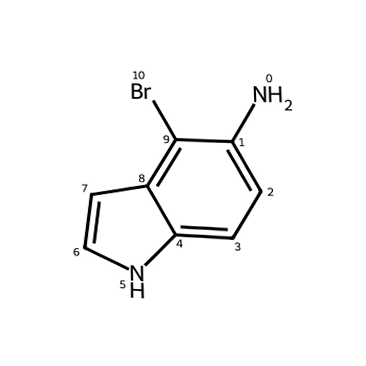 Nc1ccc2[nH]ccc2c1Br